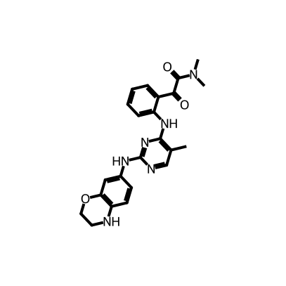 Cc1cnc(Nc2ccc3c(c2)OCCN3)nc1Nc1ccccc1C(=O)C(=O)N(C)C